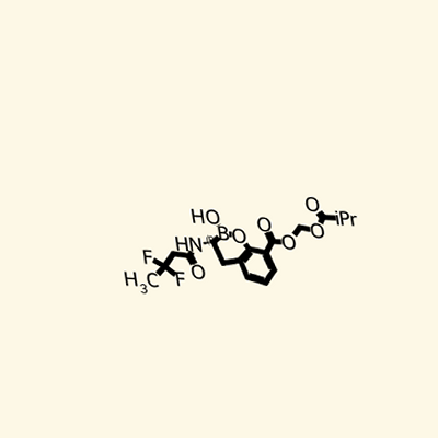 CC(C)C(=O)OCOC(=O)c1cccc2c1OB(O)[C@@H](NC(=O)CC(C)(F)F)C2